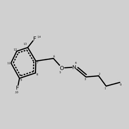 CCCC=NOCc1cc(F)ccc1F